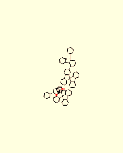 C1=C(c2ccccc2)CCC(N(c2ccc3c(c2)C2(c4ccccc4-c4ccccc42)c2cc(-c4cccc5c4c4ccccc4n5-c4ccccc4)ccc2-3)c2cccc3c2C2(c4ccccc4-c4ccccc42)c2ccccc2-3)=C1